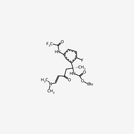 CN(C)/C=C/C(=O)C[C@](C)(NC(=O)OC(C)(C)C)c1cc(NC(=O)C(F)(F)F)ccc1F